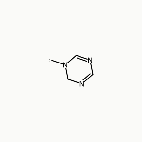 [CH]N1C=NC=NC1